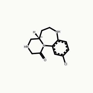 O=C1CNC[C@@H]2CCNc3ccc(Cl)cc3N12